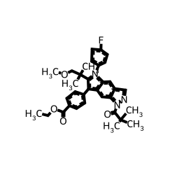 CCOC(=O)c1ccc(-c2c(C(C)(C)COC)n(-c3ccc(F)cc3)c3cc4cnn(C(=O)C(C)(C)C)c4cc23)cc1